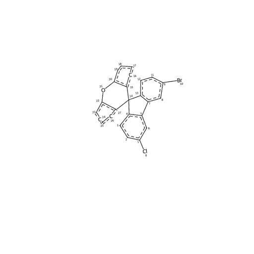 Clc1ccc2c(c1)-c1cc(Br)ccc1C21c2ccccc2Oc2ccccc21